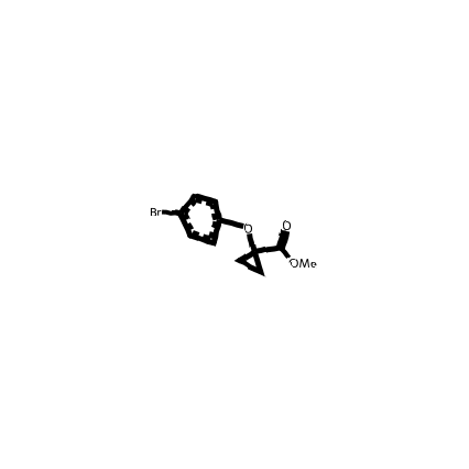 COC(=O)C1(Oc2ccc(Br)cc2)CC1